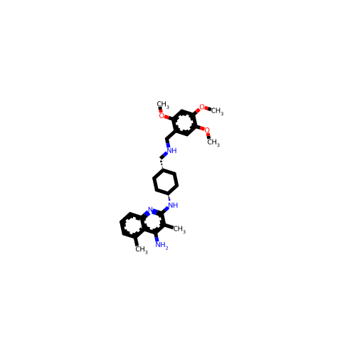 COc1cc(OC)c(OC)cc1CNC[C@H]1CC[C@@H](Nc2nc3cccc(C)c3c(N)c2C)CC1